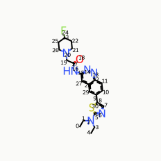 CCN(CC)c1ncc(-c2ccc3nnc(NC(=O)CN4CCC(F)CC4)cc3c2)s1